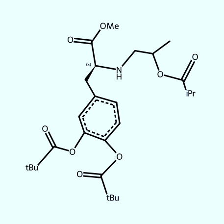 COC(=O)[C@H](Cc1ccc(OC(=O)C(C)(C)C)c(OC(=O)C(C)(C)C)c1)NCC(C)OC(=O)C(C)C